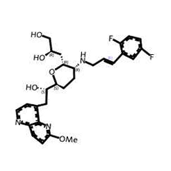 COc1ccc2nccc(C[C@H](O)[C@@H]3CC[C@@H](NC/C=C/c4cc(F)ccc4F)[C@@H](C[C@@H](O)CO)O3)c2n1